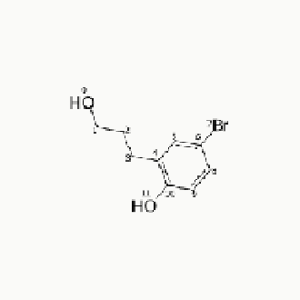 OCCCc1cc(Br)ccc1O